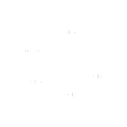 CCCCCCc1cc(O)c(O)c(CCCCCC)c1CCCCCC